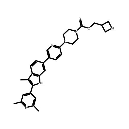 Cc1cc(-c2[nH]c3cc(-c4ccc(N5CCN(C(=O)OCC6CNC6)CC5)nc4)ccc3c2C)cc(C)n1